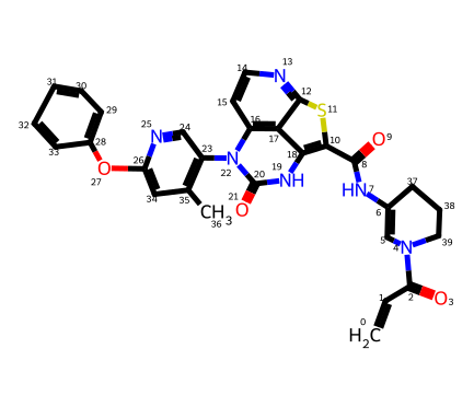 C=CC(=O)N1C=C(NC(=O)c2sc3nccc4c3c2NC(=O)N4c2cnc(Oc3ccccc3)cc2C)CCC1